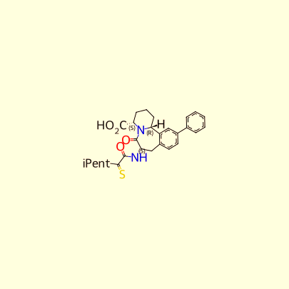 CCCC(C)C(=S)C(=O)N[C@H]1Cc2ccc(-c3ccccc3)cc2[C@H]2CCC[C@@H](C(=O)O)N2C1=O